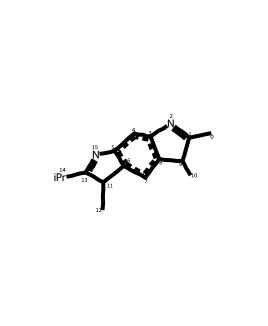 CC1=Nc2cc3c(cc2C1C)C(C)C(C(C)C)=N3